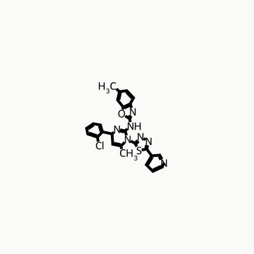 CC1=CC(c2ccccc2Cl)N=C(Nc2nc3ccc(C)cc3o2)N1c1nnc(-c2cccnc2)s1